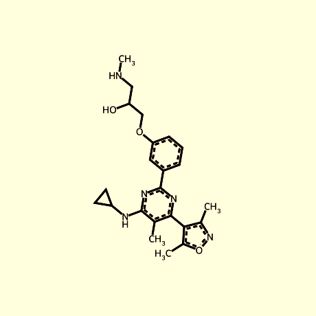 CNCC(O)COc1cccc(-c2nc(NC3CC3)c(C)c(-c3c(C)noc3C)n2)c1